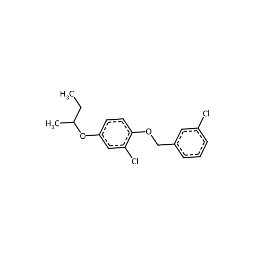 CCC(C)Oc1ccc(OCc2cccc(Cl)c2)c(Cl)c1